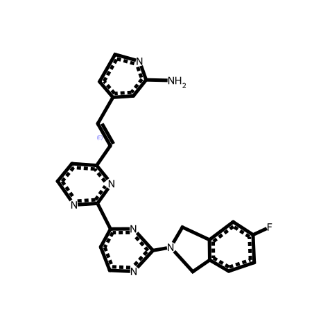 Nc1cc(/C=C/c2ccnc(-c3ccnc(N4Cc5ccc(F)cc5C4)n3)n2)ccn1